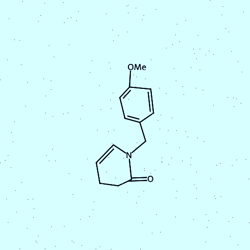 COc1ccc(CN2C=CCCC2=O)cc1